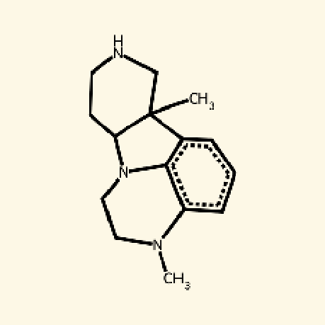 CN1CCN2c3c1cccc3C1(C)CNCCC21